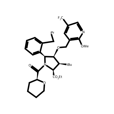 CCOC(=O)[C@@H]1[C@H](C(C)(C)C)[C@H](OCc2cc(C(F)(F)F)cnc2OC)[C@H](c2ccccc2CC(C)C)N1C(=O)[C@@H]1CCCCO1